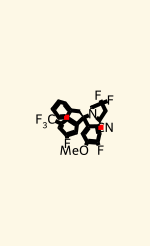 COc1cc([C@](Cc2ccccc2)(c2cc(F)cc(C(F)(F)F)c2)N2CC(F)(F)C[C@@H]2C#N)ccc1F